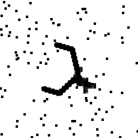 CCCCCCCC/C=C\CCCCCCCCCC(=O)OC[C@H](COP(=O)(O)OC[C@@H](O)CO)OC(=O)CCCCCCCCC/C=C\CCCCCCCC